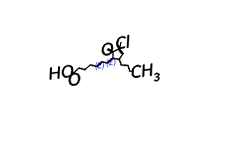 CCCCC1C=C(Cl)C(=O)/C1=C\C=C\CCCC(=O)O